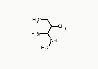 CCC(C)C([SiH3])NC